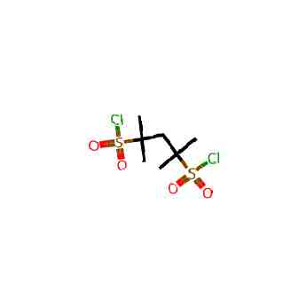 CC(C)(CC(C)(C)S(=O)(=O)Cl)S(=O)(=O)Cl